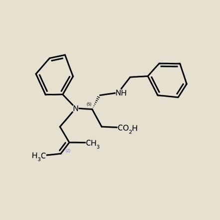 C/C=C(/C)CN(c1ccccc1)[C@H](CNCc1ccccc1)CC(=O)O